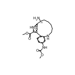 COC(=O)Nc1ccc2c(c1)NCCCCC[C@H](N)c1nc-2c(C(=O)OC)[nH]1